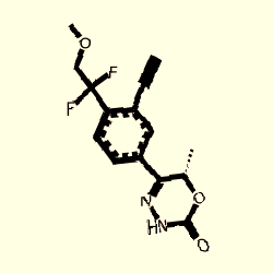 C#Cc1cc(C2=NNC(=O)O[C@H]2C)ccc1C(F)(F)COC